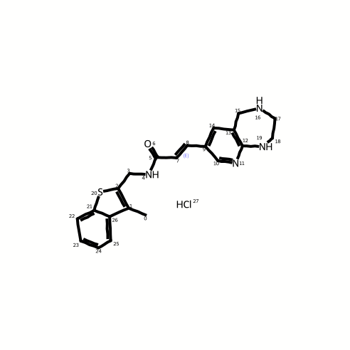 Cc1c(CNC(=O)/C=C/c2cnc3c(c2)CNCCN3)sc2ccccc12.Cl